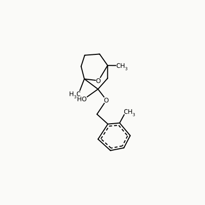 Cc1ccccc1COC1(O)CC2(C)CCCC1(C)O2